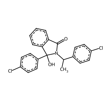 CC(c1ccc(Cl)cc1)N1C(=O)c2ccccc2C1(O)c1ccc(Cl)cc1